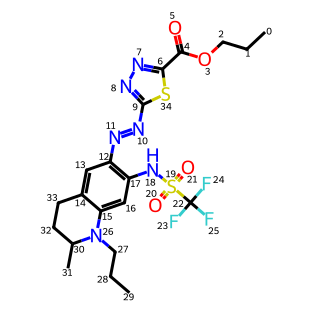 CCCOC(=O)c1nnc(N=Nc2cc3c(cc2NS(=O)(=O)C(F)(F)F)N(CCC)C(C)CC3)s1